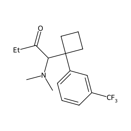 CCC(=O)C(N(C)C)C1(c2cccc(C(F)(F)F)c2)CCC1